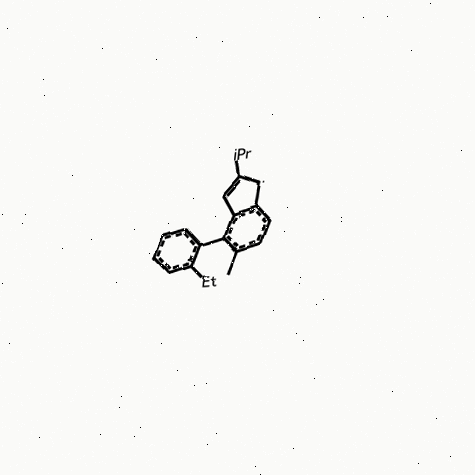 CCc1ccccc1-c1c(C)ccc2c1C=C(C(C)C)[CH]2